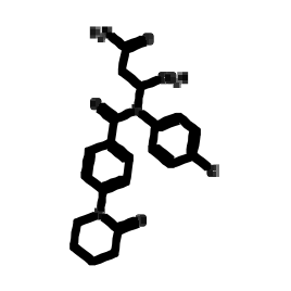 NC(=O)CC(C(=O)O)N(C(=O)c1ccc(N2CCCCC2=O)cc1)c1ccc(Cl)cc1